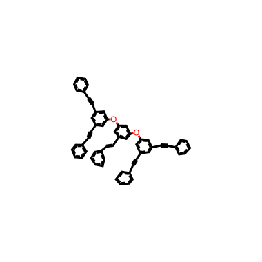 C(#Cc1cc(C#Cc2ccccc2)cc(Oc2cc(C=Cc3ccccc3)cc(Oc3cc(C#Cc4ccccc4)cc(C#Cc4ccccc4)c3)c2)c1)c1ccccc1